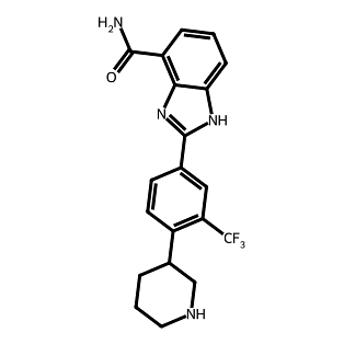 NC(=O)c1cccc2[nH]c(-c3ccc(C4CCCNC4)c(C(F)(F)F)c3)nc12